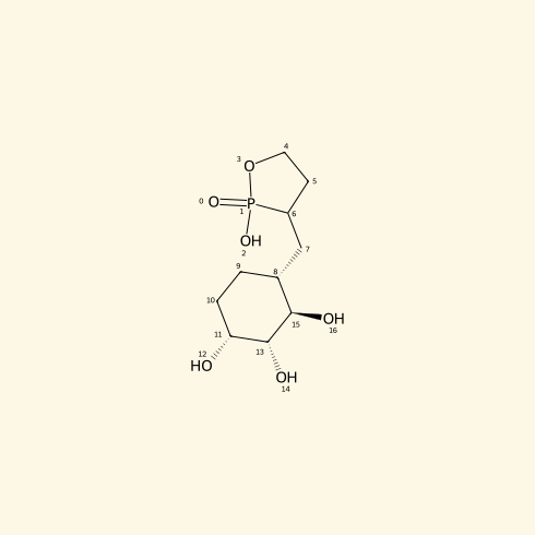 O=P1(O)OCCC1C[C@H]1CC[C@@H](O)[C@@H](O)[C@@H]1O